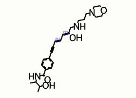 CC(O)C(C)NC(=O)c1ccc(C#C/C=C/C=C(\O)CNCCCN2CCOCC2)cc1